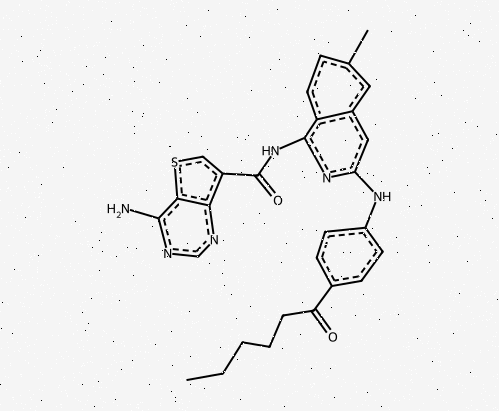 CCCCCC(=O)c1ccc(Nc2cc3cc(C)ccc3c(NC(=O)c3csc4c(N)ncnc34)n2)cc1